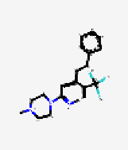 C=C(/C(=C\C(=N/C)N1CCN(C)CC1)CCc1ccccc1)C(F)(F)F